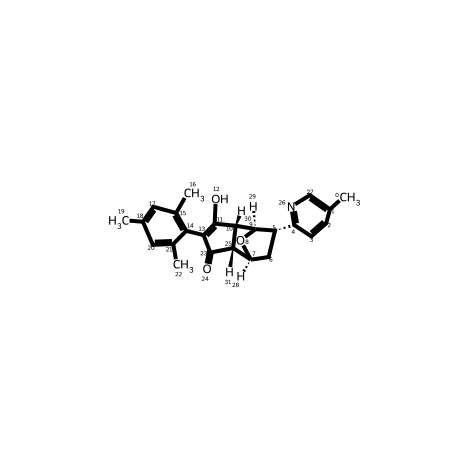 Cc1ccc([C@@H]2C[C@@H]3O[C@H]2[C@H]2C(O)=C(c4c(C)cc(C)cc4C)C(=O)[C@H]23)nc1